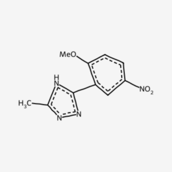 COc1ccc([N+](=O)[O-])cc1-c1nnc(C)[nH]1